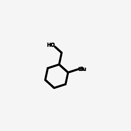 CC(C)(C)C1CCCCC1CO